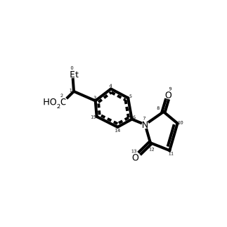 CCC(C(=O)O)c1ccc(N2C(=O)C=CC2=O)cc1